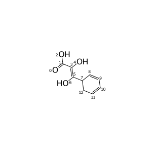 O=C(O)C(O)=C(O)C1C=CC=CC1